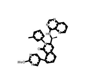 COc1ncc(-c2cccc3cc([C@H](C)Nc4ncnc5cccnc45)n(-c4cccc(C)c4)c(=O)c23)cn1